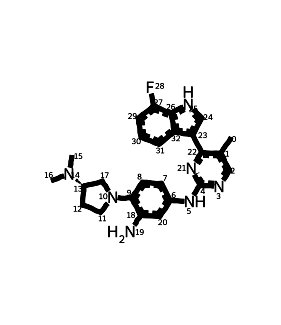 Cc1cnc(Nc2ccc(N3CC[C@H](N(C)C)C3)c(N)c2)nc1-c1c[nH]c2c(F)cccc12